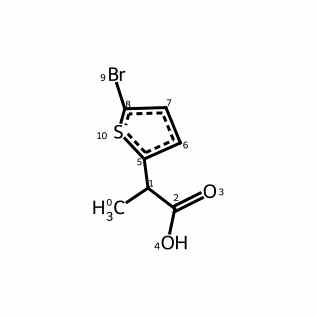 CC(C(=O)O)c1ccc(Br)s1